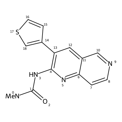 CNC(=O)Nc1nc2ccncc2cc1-c1ccsc1